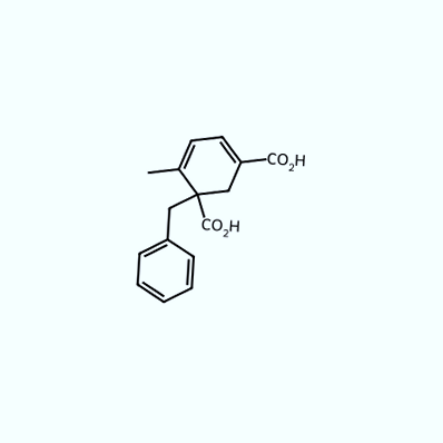 CC1=CC=C(C(=O)O)CC1(Cc1ccccc1)C(=O)O